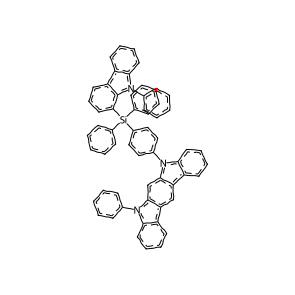 c1ccc(-n2c3ccccc3c3cc4c5ccccc5n(-c5ccc([Si](c6ccccc6)(c6ccccc6)c6cccc7c8ccccc8n(-c8ccccc8)c67)cc5)c4cc32)cc1